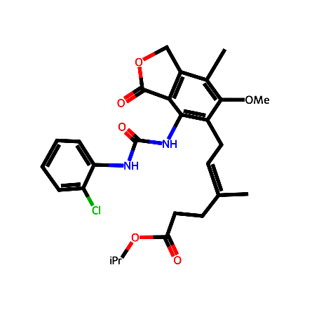 COc1c(C)c2c(c(NC(=O)Nc3ccccc3Cl)c1C/C=C(\C)CCC(=O)OC(C)C)C(=O)OC2